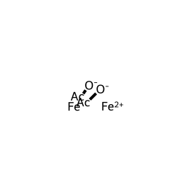 CC(=O)[O-].CC(=O)[O-].[Fe+2].[Fe]